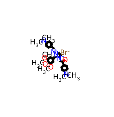 COc1cc(-c2n(/N=C/c3ccc(N(C)C)cc3)cc[n+]2CC(=O)c2ccc(N(C)C)cc2)cc(OC)c1OC.[Br-]